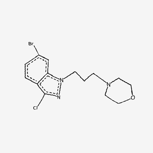 Clc1nn(CCCN2CCOCC2)c2cc(Br)ccc12